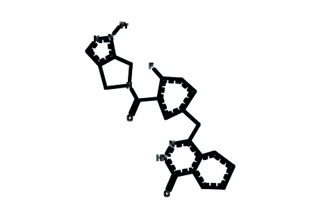 CC(C)n1ncc2c1CN(C(=O)c1cc(Cc3n[nH]c(=O)c4ccccc34)ccc1F)C2